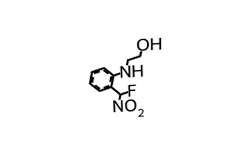 O=[N+]([O-])C(F)c1ccccc1NCCO